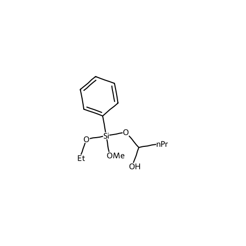 CCCC(O)O[Si](OC)(OCC)c1ccccc1